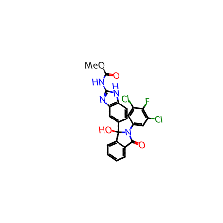 COC(=O)Nc1nc2cc(C3(O)c4ccccc4C(=O)N3c3cc(Cl)c(F)c(Cl)c3)ccc2[nH]1